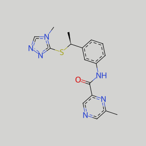 Cc1cncc(C(=O)Nc2cccc([C@H](C)Sc3nncn3C)c2)n1